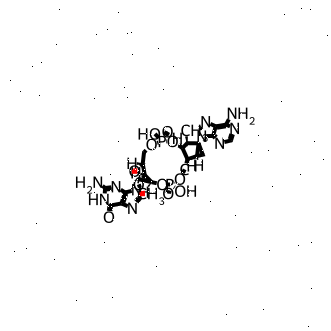 CO[C@H]1[C@H]2OP(=O)(O)OC[C@@H]3[C@@H](OP(=O)(O)OC[C@H]1O[C@H]2n1cnc2c(=O)[nH]c(N)nc21)[C@@H](C)C1(n2cnc4c(N)ncnc42)C[C@@H]31